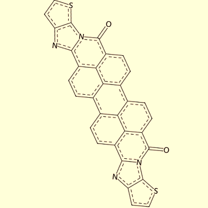 O=c1c2ccc3c4ccc5c(=O)n6c(nc7ccsc76)c6ccc(c7ccc(c2c37)c2nc3ccsc3n12)c4c56